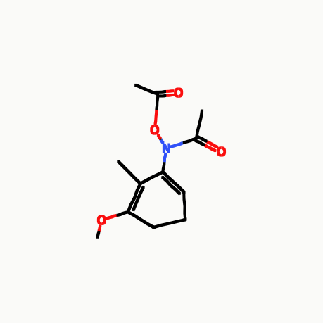 COC1=C(C)C(N(OC(C)=O)C(C)=O)=CCC1